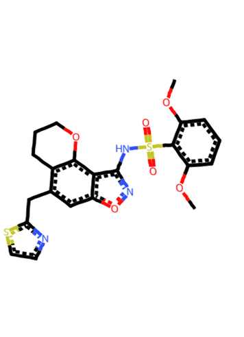 COc1cccc(OC)c1S(=O)(=O)Nc1noc2cc(Cc3nccs3)c3c(c12)OCCC3